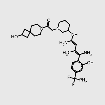 CC(/C=C(\N)NC1CCCN(CC(=O)N2CCC3(CC2)CC(O)C3)C1)=C(/N)c1ccc(C(F)(F)P)cc1O